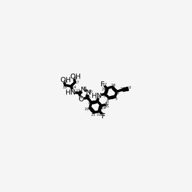 C#Cc1ccc(Nc2c(-c3nnc(NC(CO)CO)o3)ccc(F)c2F)c(F)c1